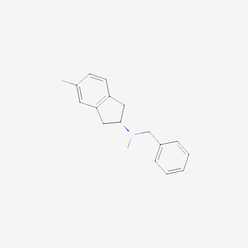 O=C(O)N(Cc1ccccc1)[C@@H]1Cc2ccc(Br)cc2C1